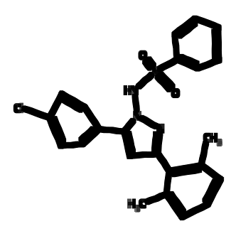 Cc1cccc(C)c1-c1cc(-c2ccc(Cl)cc2)n(NS(=O)(=O)c2ccccc2)n1